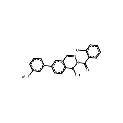 CSc1cccc(-c2ccc3c(c2)C=NN(C(=O)c2ccccc2Cl)B3O)c1